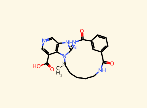 C[C@H]1CCCCNC(=O)c2cccc(c2)C(=O)/N=C2\Nc3cncc(C(=O)O)c3N21